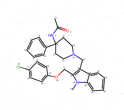 CC(=O)NC1(c2ccccc2)CCN(Cc2c(COc3ccc(Cl)cc3)n(C)c3ccccc23)CC1